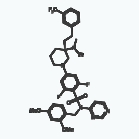 CCN(C)[C@@]1(CCc2cccc(C(F)(F)F)c2)CCCN(c2cc(F)c(S(=O)(=O)N(Cc3ccc(OC)cc3OC)c3ccncn3)c(F)c2)C1